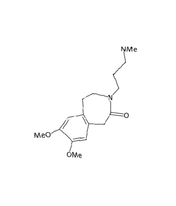 CNCCCN1CCc2cc(OC)c(OC)cc2CC1=O